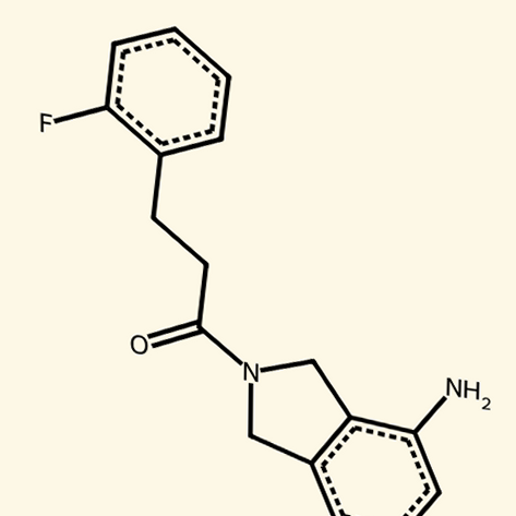 Nc1cccc2c1CN(C(=O)CCc1ccccc1F)C2